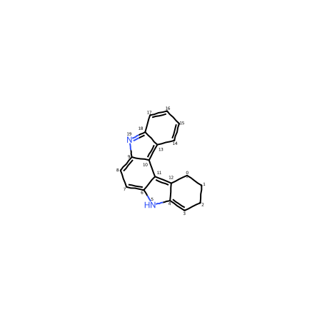 [CH]1CCC=c2[nH]c3ccc4c(c3c21)=c1ccccc1=N4